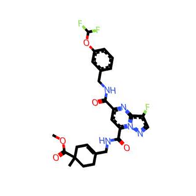 COC(=O)C1(C)CC=C(CNC(=O)c2cc(C(=O)NCc3cccc(OC(F)F)c3)nc3c(F)cnn23)CC1